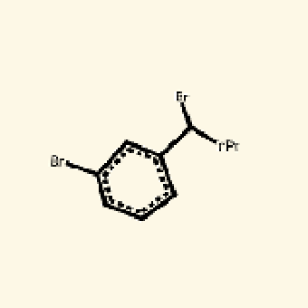 CCCC(Br)c1cccc(Br)c1